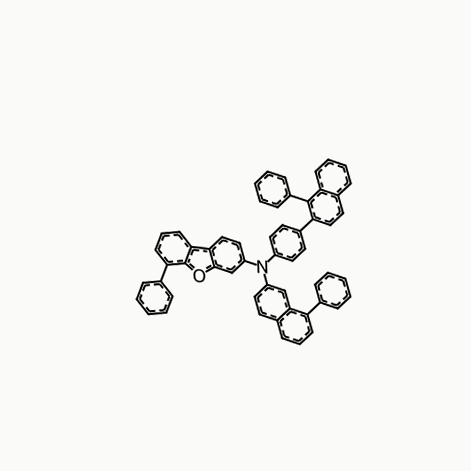 c1ccc(-c2cccc3ccc(N(c4ccc(-c5ccc6ccccc6c5-c5ccccc5)cc4)c4ccc5c(c4)oc4c(-c6ccccc6)cccc45)cc23)cc1